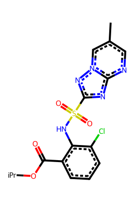 Cc1cnc2nc(S(=O)(=O)Nc3c(Cl)cccc3C(=O)OC(C)C)nn2c1